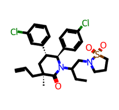 C=CC[C@@]1(C)C[C@H](c2cccc(Cl)c2)[C@@H](c2ccc(Cl)cc2)N(C(CC)CN2CCCS2(=O)=O)C1=O